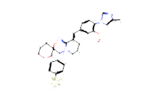 COc1cc(/C=C2\CCCN3C2=NOC2(CCCOC2)[C@@H]3c2ccc(S(F)(F)(F)(F)F)cc2)ccc1-n1cnc(C)c1